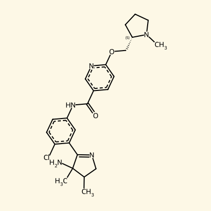 CC1CN=C(c2cc(NC(=O)c3ccc(OC[C@@H]4CCCN4C)nc3)ccc2Cl)C1(C)N